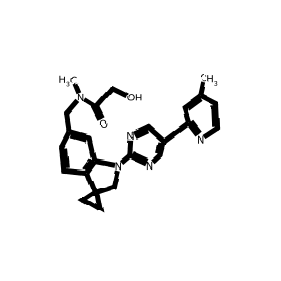 Cc1ccnc(-c2cnc(N3CC4(CC4)c4ccc(CN(C)C(=O)CO)cc43)nc2)c1